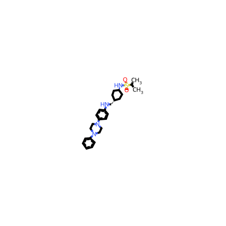 CC(C)S(=O)(=O)N[C@H]1CC[C@H](CNc2ccc(N3CCN(c4ccccc4)CC3)cc2)CC1